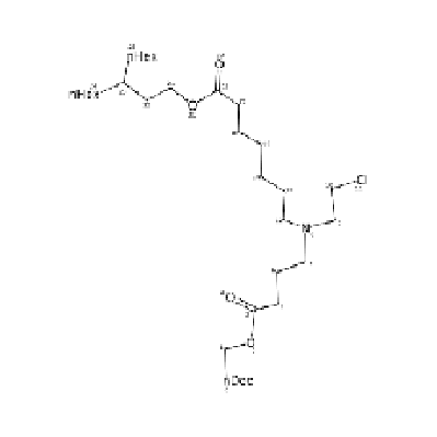 CCCCCCCCCCCOC(=O)CCCN(CCCl)CCCCCCC(=O)OCCC(CCCCCC)CCCCCC